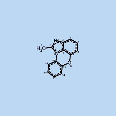 Cc1nc2cccc3c2n1-c1ccccc1O3